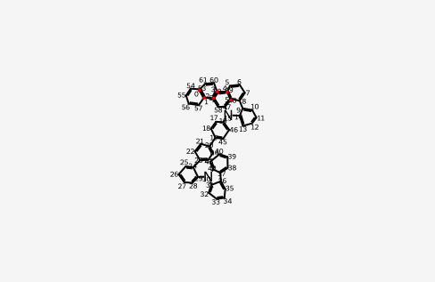 c1ccc(-c2cccc(-c3ccccc3N(c3ccc(-c4ccc(-c5ccccc5-n5c6ccccc6c6ccccc65)cc4)cc3)c3cccc(-c4ccccc4)c3)c2)cc1